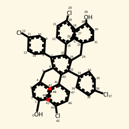 Oc1ccc(Cc2c(-c3ccc(Cl)cc3)c(-c3ccc(Cl)cc3)c(Cc3ccc(O)cc3)c(-c3ccc(Cl)cc3)c2-c2ccc(Cl)cc2)cc1